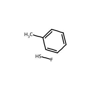 Cc1ccccc1.FS